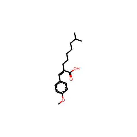 COc1ccc(C=C(CCCCCC(C)C)C(=O)O)cc1